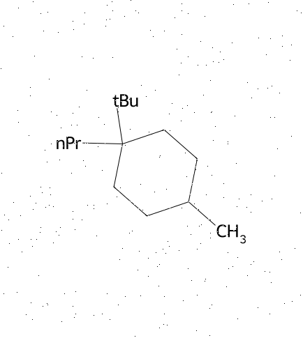 CCCC1(C(C)(C)C)CCC(C)CC1